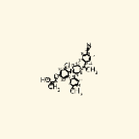 Cc1ccc([C@@H]2CN([C@H](C)c3ccc(C#N)cc3)CCN2c2ccc(OC[C@H](C)O)cc2Cl)cc1